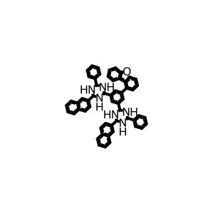 c1ccc(C2NC(c3cc(-c4cccc5oc6ccccc6c45)cc(C4NC(c5ccccc5)NC(c5ccc6ccccc6c5)N4)c3)NC(c3ccc4ccccc4c3)N2)cc1